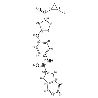 CC1CC1C(=O)N1CCC(Oc2ccc(NC(=O)N3Cc4ccncc4C3)cc2)C1